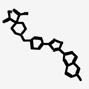 Cc1ccc2cc(-c3nc(-c4ccc(CN5CCC(C(=O)O)(C(=O)O)CC5)cc4)no3)ccc2c1